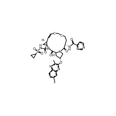 Cc1nc2ccc(F)cc2nc1O[C@@H]1C[C@H]2C(=O)N[C@]3(C(=O)NS(=O)(=O)C4CC4)C[C@H]3C=CCCCCC[C@H](NC(=O)c3ccncn3)C(=O)N2C1